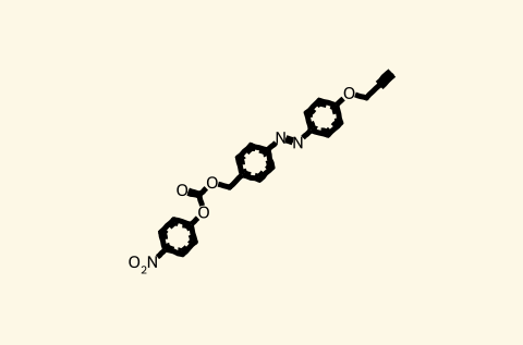 C#CCOc1ccc(N=Nc2ccc(COC(=O)Oc3ccc([N+](=O)[O-])cc3)cc2)cc1